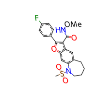 CONC(=O)c1c(-c2ccc(F)cc2)oc2cc3c(cc12)CCCCN3S(C)(=O)=O